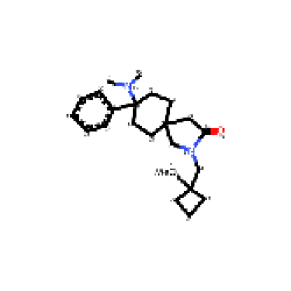 COC1(CN2CC3(CCC(c4ccccc4)(N(C)C)CC3)CC2=O)CCC1